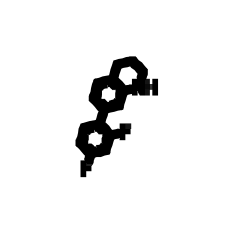 Fc1ccc(-c2ccc3c(c2)NCCC3)c(F)c1